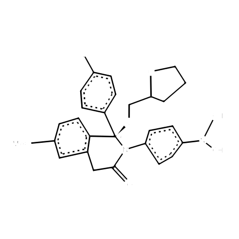 COc1ccc2c(c1)CC(=O)N(c1ccc(N(C)C)cc1)[C@@]2(OCC1CCCO1)c1ccc(Cl)cc1